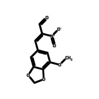 COc1cc(C=C(C=O)[N+](=O)[O-])cc2c1OCO2